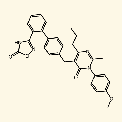 CCCc1nc(C)n(-c2ccc(OC)cc2)c(=O)c1Cc1ccc(-c2ccccc2-c2noc(=O)[nH]2)cc1